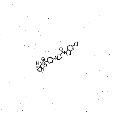 O=C(C1CCN(c2ccc(S(=O)(=O)Nc3nccs3)cc2)C1)N1CCc2cc(Cl)ccc21